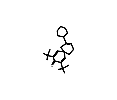 CC(C)(C)C1=CC2(C=C(C(C)(C)C)C1=O)CCC=C(C1CCCCC1)C2